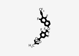 CC12COC(c3cc(F)c(C(F)(F)Oc4ccc5c(F)c(C#CC(F)(F)F)c(F)cc5c4)c(F)c3)(OC1)OC2